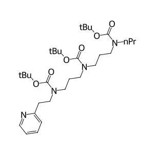 CCCN(CCCN(CCCN(CCc1ccccn1)C(=O)OC(C)(C)C)C(=O)OC(C)(C)C)C(=O)OC(C)(C)C